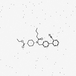 CCCCC(=O)N(Cc1ccc(-c2ccccc2C#N)cc1)[C@H]1CC[C@@H](C(=O)OCC)CC1